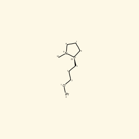 CC(C)OCCC[C@@H]1CCCN1C